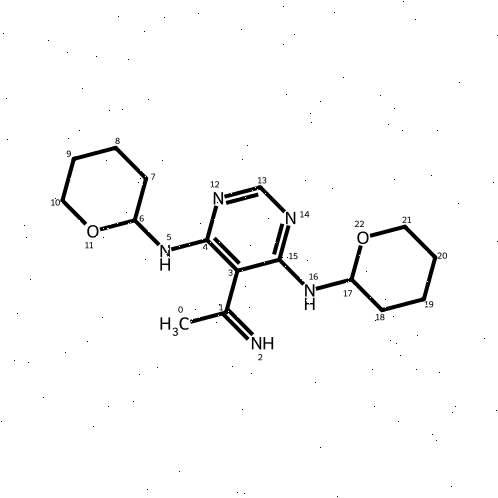 CC(=N)c1c(NC2CCCCO2)ncnc1NC1CCCCO1